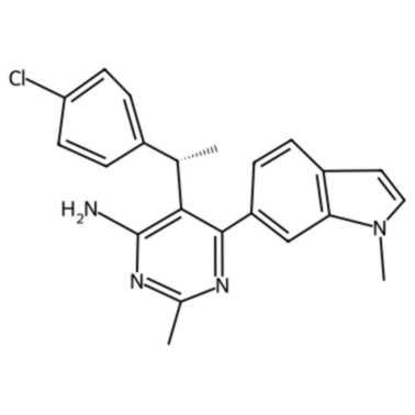 Cc1nc(N)c([C@@H](C)c2ccc(Cl)cc2)c(-c2ccc3ccn(C)c3c2)n1